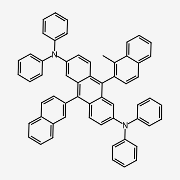 Cc1c(-c2c3ccc(N(c4ccccc4)c4ccccc4)cc3c(-c3ccc4ccccc4c3)c3ccc(N(c4ccccc4)c4ccccc4)cc23)ccc2ccccc12